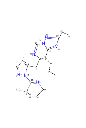 CCCc1c(Cc2ccnn2-c2ncccc2F)ncn2nc(CC)nc12